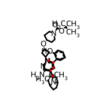 CC(C)(C)OC(=O)N1CCC(O[C@H]2C[C@H](N3CCC(C(C)(C)N4C5CCC4CN(c4cc(-c6ccccc6O)nnc4N)C5)CC3)C2)CC1